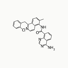 Cc1ccc2c(Cc3ccccc3Cl)nccc2c1NC(=O)c1cccc2c(N)ncnc12